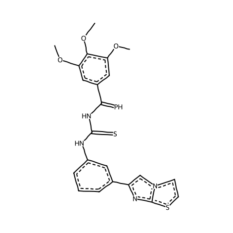 COc1cc(C(=P)NC(=S)Nc2cccc(-c3cn4ccsc4n3)c2)cc(OC)c1OC